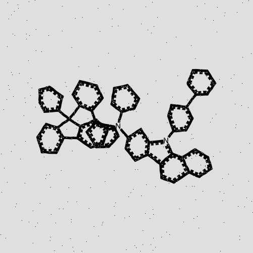 c1ccc(-c2ccc(-n3c4cc(N(c5ccccc5)c5ccc6c(c5)C(c5ccccc5)(c5ccccc5-c5ccccc5)c5ccccc5-6)ccc4c4ccc5ccccc5c43)cc2)cc1